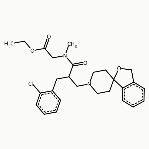 CCOC(=O)CN(C)C(=O)C(Cc1ccccc1Cl)CN1CCC2(CC1)OCc1ccccc12